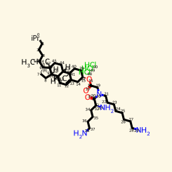 CC(C)CCC[C@@H](C)[C@H]1CC[C@H]2[C@@H]3CC=C4C[C@@H](OC(=O)CN(CCCCCCCCN)C(=O)[C@@H](N)CCCCN)CC[C@]4(C)[C@H]3CC[C@]12C.Cl.Cl.Cl